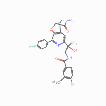 COc1cc(C(=O)NCC(O)(c2cc3c(c(-c4ccc(F)cc4)n2)OC[C@]3(C)C(N)=O)C(F)(F)F)ccc1Cl